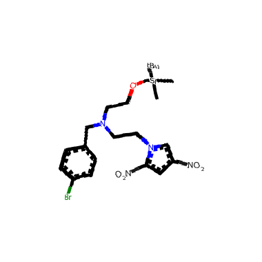 CC(C)(C)[Si](C)(C)OCCN(CCn1cc([N+](=O)[O-])cc1[N+](=O)[O-])Cc1ccc(Br)cc1